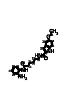 CCOc1ccc2[nH]c(C(=O)NCCCCCC(=O)Nc3ccccc3N)cc2c1